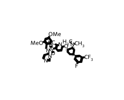 COc1ccc(CN(c2ccncn2)S(=O)(=O)c2ccc(O[C@H]3CC[C@H](c4cc(F)cc(C(F)(F)F)c4)C[C@@H]3N(C)C)nc2C)c(OC)c1